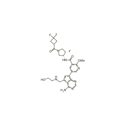 COc1ncc(-c2cc(CNCCO)c3c(N)ncnn23)cc1C(=O)N[C@@H]1CN(C(=O)C2CC(F)(F)C2)C[C@@H]1F